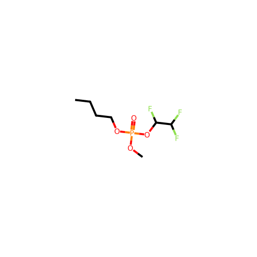 CCCCOP(=O)(OC)OC(F)C(F)F